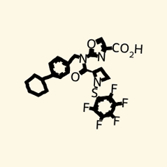 O=C(O)c1coc(N(Cc2ccc(C3CCCCC3)cc2)C(=O)[C@H]2CCN2Sc2c(F)c(F)c(F)c(F)c2F)n1